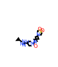 O=C(N1CCC(c2nnc(C3CC3)[nH]2)CC1)N1CC2(CC(N3CCS(=O)(=O)CC3)C2)C1